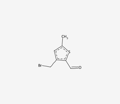 Cc1cc(CBr)c(C=O)s1